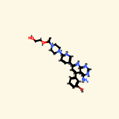 CC(OCCO)N1CCN(c2ccc(-c3cc(-c4cccc(Br)c4)c4c(N)ncnc4n3)cn2)CC1